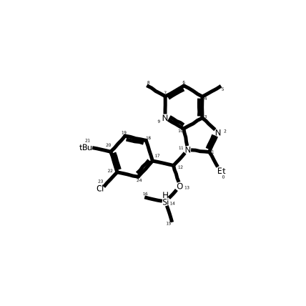 CCc1nc2c(C)cc(C)nc2n1C(O[SiH](C)C)c1ccc(C(C)(C)C)c(Cl)c1